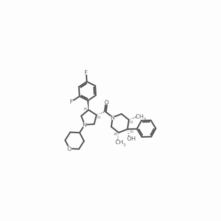 C[C@@H]1CN(C(=O)[C@@H]2CN(C3CCOCC3)C[C@H]2c2ccc(F)cc2F)C[C@H](C)[C@@]1(O)c1ccccc1